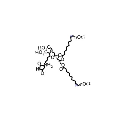 CCCCCCCC/C=C\CCCCCCCC(=O)OC[C@H](COC(=O)CN(CC(=O)O)C(CCCCN)C(=O)O)OC(=O)CCCCCCC/C=C\CCCCCCCC.O=[C]1CC[C](=O)[Ni]1